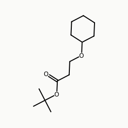 CC(C)(C)OC(=O)CCOC1CCCCC1